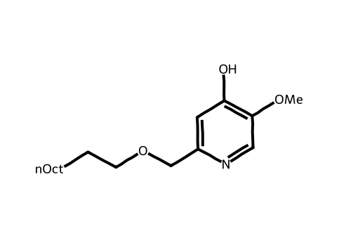 CCCCCCCCCCOCc1cc(O)c(OC)cn1